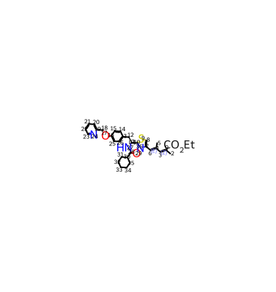 CCOC(=O)/C(C)=C\C(C)=C\c1csc([C@H](Cc2ccc(OCc3ccccn3)cc2)NC(=O)C2CCCCC2)n1